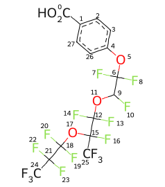 O=C(O)c1ccc(OC(F)(F)C(F)OC(F)(F)C(F)(OC(F)(F)C(F)(F)C(F)(F)F)C(F)(F)F)cc1